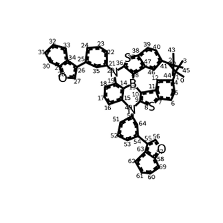 CC(C)(C)c1ccc2sc3c(c2c1)B1c2c(cccc2N(c2cccc(-c4coc5ccccc45)c2)c2sc4ccc(C(C)(C)C)cc4c21)N3c1cccc(-c2coc3ccccc23)c1